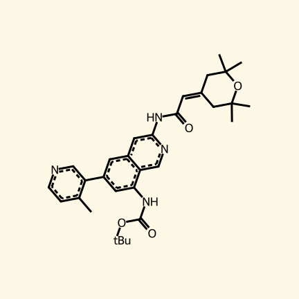 Cc1ccncc1-c1cc(NC(=O)OC(C)(C)C)c2cnc(NC(=O)C=C3CC(C)(C)OC(C)(C)C3)cc2c1